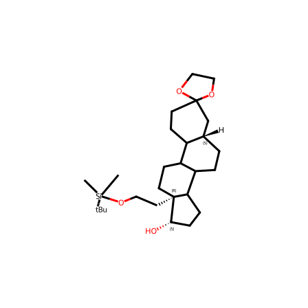 CC(C)(C)[Si](C)(C)OCC[C@]12CCC3C(CC[C@H]4CC5(CCC34)OCCO5)C1CC[C@@H]2O